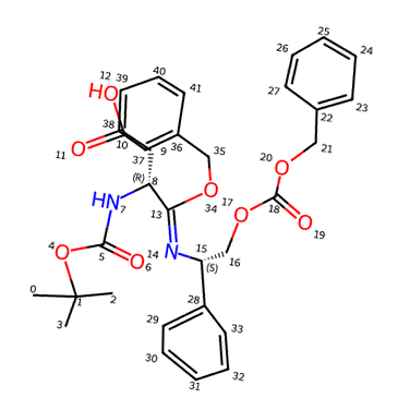 CC(C)(C)OC(=O)N[C@H](CC(=O)O)C(=N[C@H](COC(=O)OCc1ccccc1)c1ccccc1)OCc1ccccc1